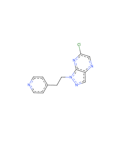 Clc1cnc2cnn(CCc3ccncc3)c2n1